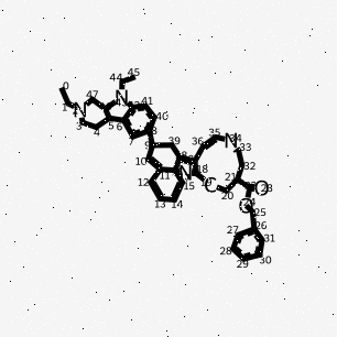 CCN1CCC2c3cc(C4C=C5C=CC=CC56N=C5CCC(C(=O)OCc7ccccc7)CC=NC=CC5=C6C4)ccc3N(CC)C2C1